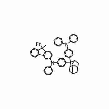 CCC1(C)c2ccccc2-c2cc(N(c3ccccc3)c3ccc(C4(c5ccc(N(c6ccccc6)c6ccccc6)cc5)C5CC6CC(C5)CC4C6)cc3)ccc21